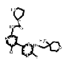 CC1(CNc2nc(-c3cc(NC(=O)[C@@H]4CCCNC4)ncc3Cl)cnc2F)CCOCC1